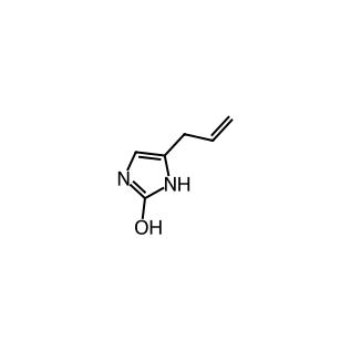 C=CCc1cnc(O)[nH]1